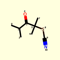 CC(C)C(=O)C(C)(C)SC#N